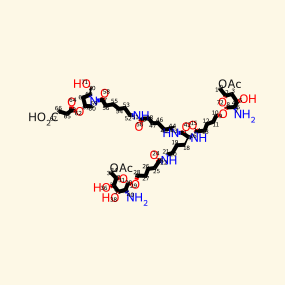 CC(=O)OCC1CC(O)C(N)C(OCCCCC(=O)N[C@@H](CCCCNC(=O)CCCCOC2OC(COC(C)=O)C(O)C(O)C2N)C(=O)NCCCCCC(=O)NCCCCCC(=O)N2C[C@H](OC(=O)CCC(=O)O)C[C@H]2CO)O1